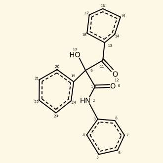 O=C(Nc1ccccc1)C(O)(C(=O)c1ccccc1)c1ccccc1